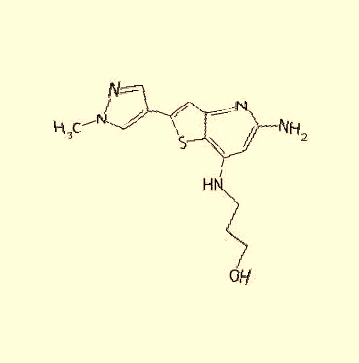 Cn1cc(-c2cc3nc(N)cc(NCCCO)c3s2)cn1